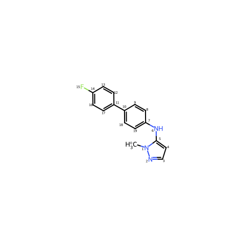 Cn1nccc1Nc1ccc(-c2ccc(F)cc2)cc1